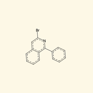 Brc1cc2ccccc2c(-c2ccccc2)n1